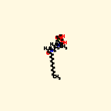 CCCCCCCCCCCC(=O)N(C)CCC[N+](C)(C)C(O)CS(=O)(=O)O